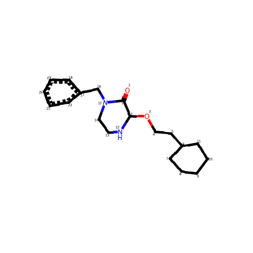 O=C1C(OCCC2CCCCC2)NCCN1Cc1ccccc1